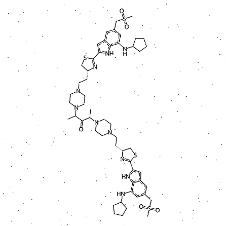 CC(C(=O)C(C)N1CCN(CC[C@@H]2CSC(c3cc4cc(CS(C)(=O)=O)cc(NC5CCCC5)c4[nH]3)=N2)CC1)N1CCN(CC[C@@H]2CSC(c3cc4cc(CS(C)(=O)=O)cc(NC5CCCC5)c4[nH]3)=N2)CC1